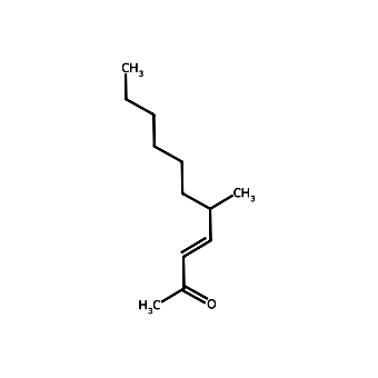 CCCCCCC(C)/C=C/C(C)=O